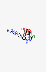 CN1CCN(C2CCN(c3ccc(Nc4ncc(Cl)c(O[C@@H]5CO[C@H]6[C@@H]5OC[C@H]6O)n4)cc3Cl)CC2)CC1